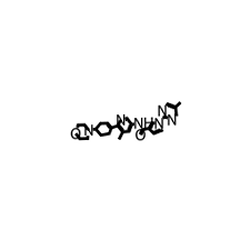 Cc1cnc(-n2ccc(C(=O)Nc3cnc(C4=CCC(N5CCOCC5)CC4)c(C)c3)c2)nc1